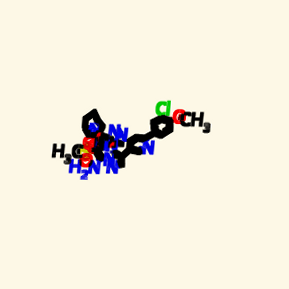 COc1ccc(-c2ccc(-c3cnn4c(N)c(S(C)(=O)=O)c(C5CC6CCC(C5)N6C(=O)c5nnc[nH]5)nc34)cn2)cc1Cl